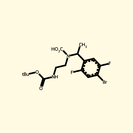 CC(c1cc(F)c(Br)cc1F)N(CCNC(=O)OC(C)(C)C)C(=O)O